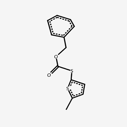 Cc1ccc(SC(=O)OCc2ccccc2)s1